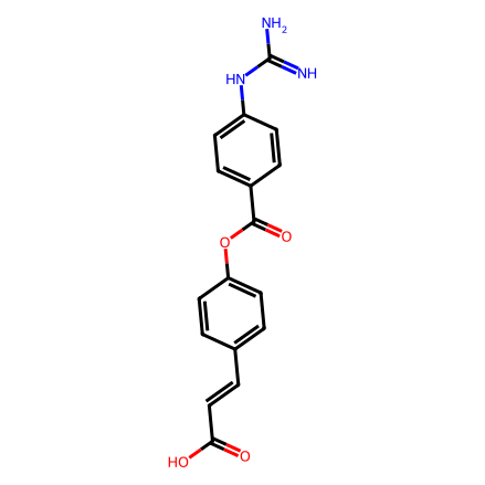 N=C(N)Nc1ccc(C(=O)Oc2ccc(/C=C/C(=O)O)cc2)cc1